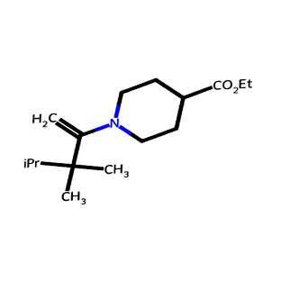 C=C(N1CCC(C(=O)OCC)CC1)C(C)(C)C(C)C